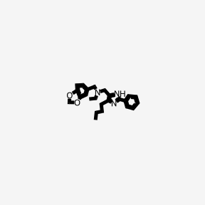 CCCCc1nc(-c2ccccc2)[nH]c1CN(CC)Cc1ccc2c(c1)OCO2